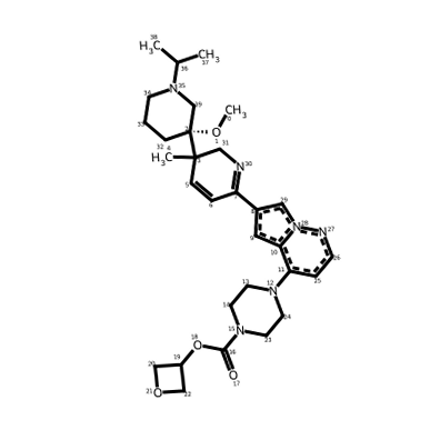 CO[C@]1(C2(C)C=CC(c3cc4c(N5CCN(C(=O)OC6COC6)CC5)ccnn4c3)=NC2)CCCN(C(C)C)C1